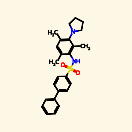 Cc1cc(C)c(N2CCCC2)c(C)c1NS(=O)(=O)c1ccc(-c2ccccc2)cc1